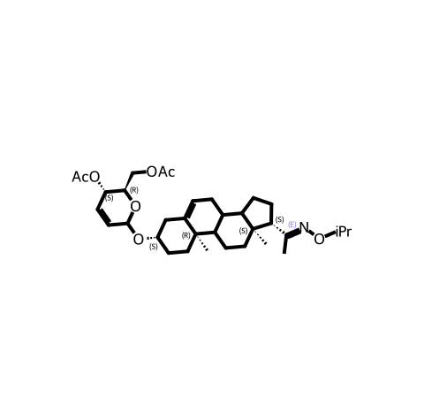 CC(=O)OC[C@H]1OC(O[C@H]2CC[C@@]3(C)C(=CCC4C3CC[C@@]3(C)C4CC[C@@H]3/C(C)=N/OC(C)C)C2)C=C[C@@H]1OC(C)=O